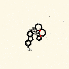 CC(C)(C)c1ccc2c(c1)Cc1c-2ccc(C(C)(C)C)[c]1[Zr](=[SiH2])([C]1=CC=CC1)([CH]1CCCCCC1)[CH]1CCCCCC1